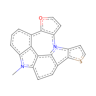 Cn1c2cccc3c4occc4n4c5ccsc5c5ccc1c(c32)c54